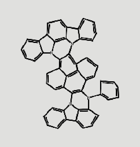 c1ccc(B2c3cccc4c3B(c3ccccc3-4)c3c2c2cccc4c2c2c3cccc2c2c4n3c4ccccc4c4ccc5c6ccccc6n2c5c43)cc1